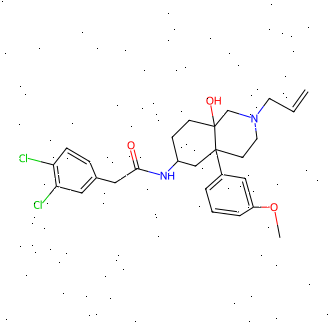 C=CCN1CCC2(c3cccc(OC)c3)CC(NC(=O)Cc3ccc(Cl)c(Cl)c3)CCC2(O)C1